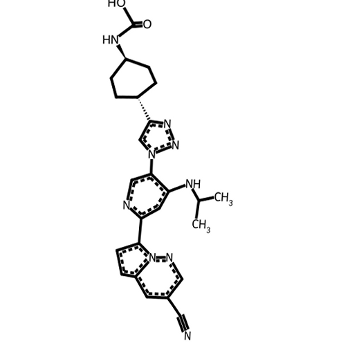 CC(C)Nc1cc(-c2ccc3cc(C#N)cnn23)ncc1-n1cc([C@H]2CC[C@H](NC(=O)O)CC2)nn1